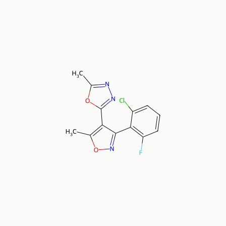 Cc1nnc(-c2c(-c3c(F)cccc3Cl)noc2C)o1